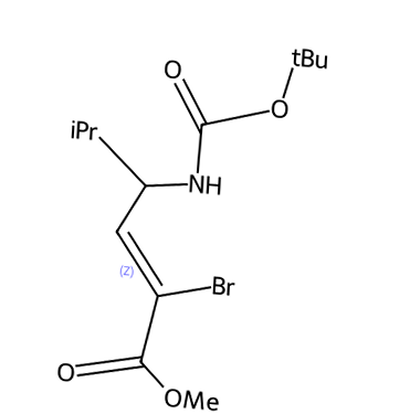 COC(=O)/C(Br)=C/C(NC(=O)OC(C)(C)C)C(C)C